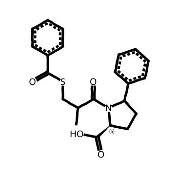 CC(CSC(=O)c1ccccc1)C(=O)N1C(c2ccccc2)CC[C@H]1C(=O)O